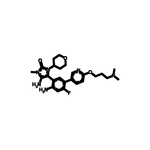 CN(C)CCCOc1ccc(-c2cc(-c3c(N)n(C)c(=O)n3C3CCOCC3)c(N)cc2F)cn1